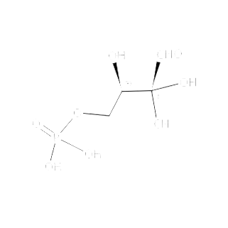 C[C@](O)(C=O)[C@H](O)COP(=O)(O)O